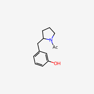 CC(=O)N1CCCC1Cc1cccc(O)c1